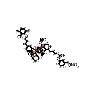 Cc1c(CN(C(=O)C2=C(c3ccc(CCCOc4c(F)ccc(F)c4Cl)cc3)CC3COCC2N3C(=O)Oc2cccc(CO[N+](=O)[O-])c2)C2CC2)ccnc1CCCOC(=O)Oc1cccc(CO[N+](=O)[O-])c1